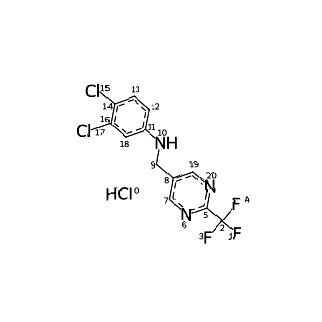 Cl.FC(F)(F)c1ncc(CNc2ccc(Cl)c(Cl)c2)cn1